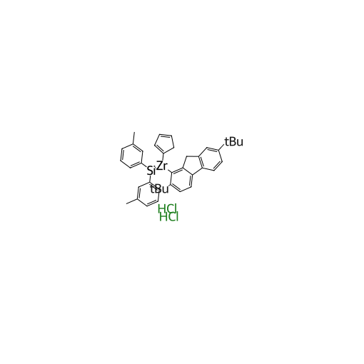 Cc1cccc([Si](c2cccc(C)c2)=[Zr]([C]2=CC=CC2)[c]2c(C(C)(C)C)ccc3c2Cc2cc(C(C)(C)C)ccc2-3)c1.Cl.Cl